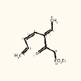 C=C/C=C\C(=C/C)C(=O)CC(=O)OCC